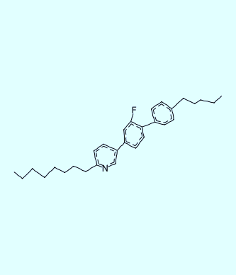 CCCCCCCCc1ccc(-c2ccc(-c3ccc(CCCCC)cc3)c(F)c2)cn1